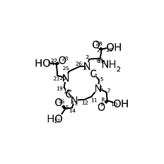 N[C@H](CN1CCN(CC(=O)O)CCN(CC(=O)O)CCN(CC(=O)O)CC1)C(=O)O